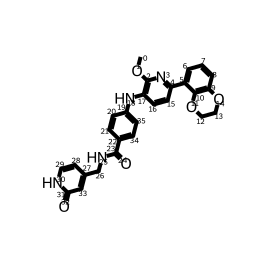 COc1nc(-c2cccc3c2OCCO3)ccc1Nc1ccc(C(=O)NCc2cc[nH]c(=O)c2)cc1